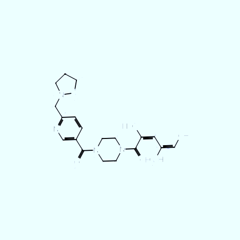 C=C(/C(C)=C\C(C)=C/C)N1CCN(C(=O)c2ccc(CN3CCCS3)nc2)CC1